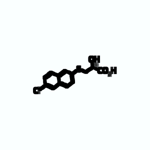 O=C(O)[C@H](O)CSc1ccc2cc(Cl)ccc2c1